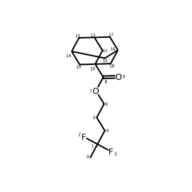 CC(F)(F)CCCOC(=O)C12CC3CC(CC(C3)C1)C2